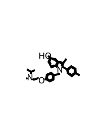 Cc1ccc(-c2c(C)c3cc(O)ccc3n2Cc2ccc(OCCN(C)C(C)C)cc2)cc1